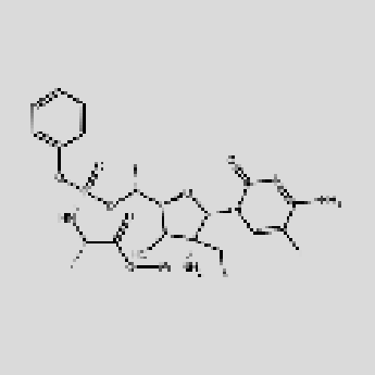 CC(C)OC(=O)[C@H](C)N[P@@](=O)(Oc1ccccc1)O[C@H](C)[C@H]1O[C@@H](n2cc(F)c(N)nc2=O)[C@@](N)(CF)C1O